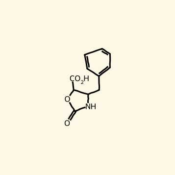 O=C1NC(Cc2ccccc2)C(C(=O)O)O1